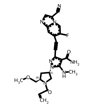 C=CC(=O)N1C[C@@H](n2nc(C#Cc3cc4ncc(C#N)n4cc3F)c(C(N)=O)c2NC)C[C@@H]1COC